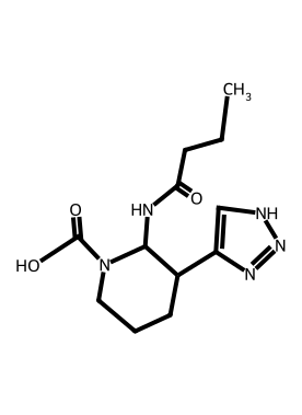 CCCC(=O)NC1C(c2c[nH]nn2)CCCN1C(=O)O